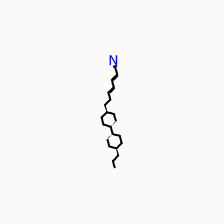 CCC[C@H]1CC[C@H]([C@H]2CC[C@H](CCC=CC=CC#N)CC2)CC1